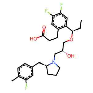 CC[C@@H](OC[C@H](O)CN1CCC[C@H]1Cc1ccc(C)c(F)c1)c1cc(F)c(F)cc1CCC(=O)O